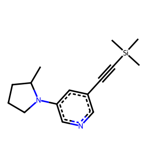 CC1CCCN1c1cncc(C#C[Si](C)(C)C)c1